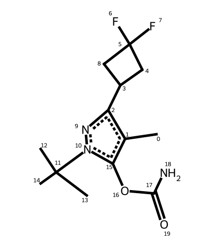 Cc1c(C2CC(F)(F)C2)nn(C(C)(C)C)c1OC(N)=O